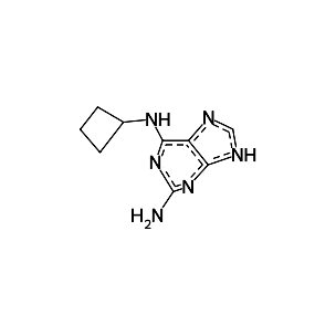 Nc1nc(NC2CCC2)c2nc[nH]c2n1